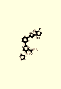 CN1CC[C@@](O)(c2cc(-c3cccc(-c4ncc(N[C@@H]5CCOC5)c(C(N)=O)n4)c3)no2)C1=O